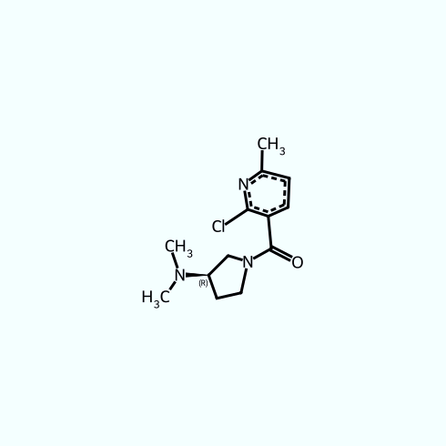 Cc1ccc(C(=O)N2CC[C@@H](N(C)C)C2)c(Cl)n1